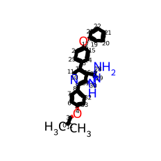 CC(C)COc1ccc(-c2ncc(-c3ccc(Oc4ccccc4)cc3)c3c(N)n[nH]c23)cc1